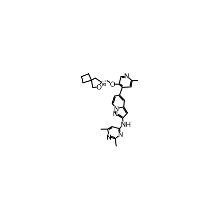 Cc1cc(-c2ccn3nc(Nc4cc(C)nc(C)n4)cc3c2)c(OC[C@H]2CC3(CCC3)CO2)cn1